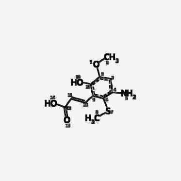 COc1cc(N)c(SC)c(C=CC(=O)O)c1O